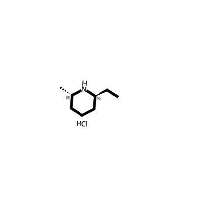 CC[C@H]1CCC[C@H](C)N1.Cl